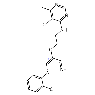 Cc1ncnc(NCCO/C(C=N)=C/Nc2ccccc2Cl)c1Cl